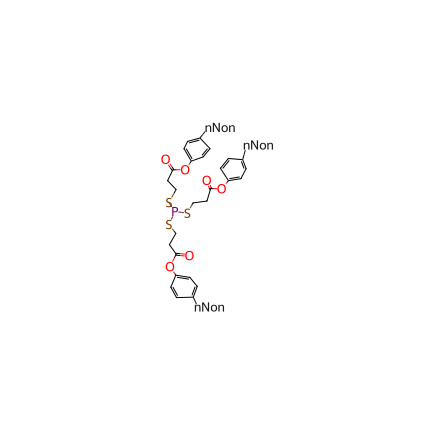 CCCCCCCCCc1ccc(OC(=O)CCSP(SCCC(=O)Oc2ccc(CCCCCCCCC)cc2)SCCC(=O)Oc2ccc(CCCCCCCCC)cc2)cc1